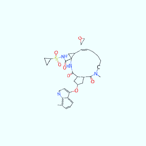 C1CO1.Cc1cccc2c(OC3CC4C(=O)NC5(C(=O)NS(=O)(=O)C6CC6)CC5C=CCCCCN(C)C(=O)C4C3)ccnc12